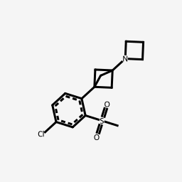 CS(=O)(=O)c1cc(Cl)ccc1C12CC(N3CCC3)(C1)C2